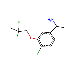 CC(N)c1ccc(F)c(OCC(C)(F)F)c1